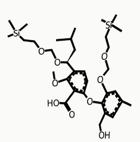 COc1c([C@H](CC(C)C)OCOCC[Si](C)(C)C)ccc(Oc2c(CO)cc(C)cc2OCOCC[Si](C)(C)C)c1C(=O)O